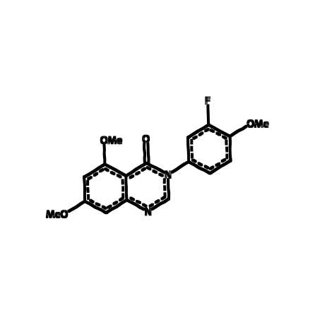 COc1cc(OC)c2c(=O)n(-c3ccc(OC)c(F)c3)cnc2c1